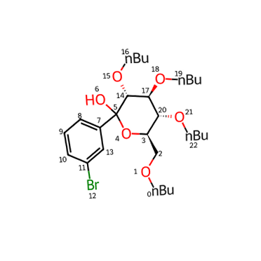 CCCCOC[C@H]1OC(O)(c2cccc(Br)c2)[C@H](OCCCC)[C@@H](OCCCC)[C@@H]1OCCCC